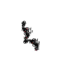 CN1C(=O)C(NC(=O)c2ncn(Cc3cccc(C4COCCN4CCCc4cc5n(n4)CC[C@@H](NC(=O)c4ncn(Cc6ccccc6)n4)C(=O)N5C)c3)n2)CCn2nc(CCCN3CCOCC3)cc21